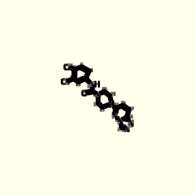 O=C(Nc1ccc(Cl)c(Cl)c1)N1CCN(c2ccc3nncn3n2)CC1